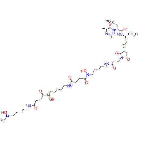 CC(=O)N(O)CCCCCNC(=O)CCC(=O)N(O)CCCCCNC(=O)CCC(=O)N(O)CCCCCNC(=O)CCN1C(=O)CC(SC[C@H](NC(=O)[C@H](CC(=O)O)NC(=O)[C@H](C)N)C(=O)O)C1=O